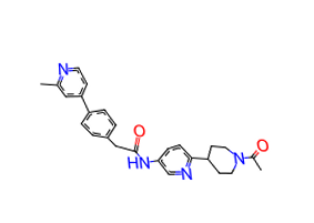 CC(=O)N1CCC(c2ccc(NC(=O)Cc3ccc(-c4ccnc(C)c4)cc3)cn2)CC1